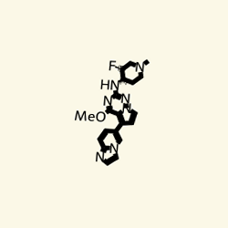 COc1nc(N[C@@H]2CCN(C)C[C@H]2F)nn2ccc(-c3ccc4nccn4c3)c12